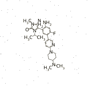 CC(C)n1c(-c2cc(-c3ccc(N4CCC(N(C)C)CC4)nc3)c(F)cc2N)c(N)n(C)c1=O